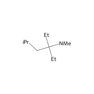 CCC(CC)(CC(C)C)NC